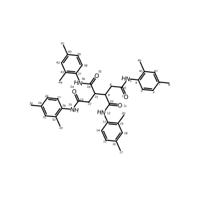 Cc1ccc(NC(=O)CC(C(=O)Nc2ccc(C)cc2C)C(CC(=O)Nc2ccc(C)cc2C)C(=O)Nc2ccc(C)cc2C)c(C)c1